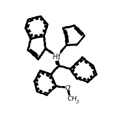 COc1ccccc1[C](c1ccccc1)=[Hf]([C]1=CC=CC1)[CH]1C=Cc2ccccc21